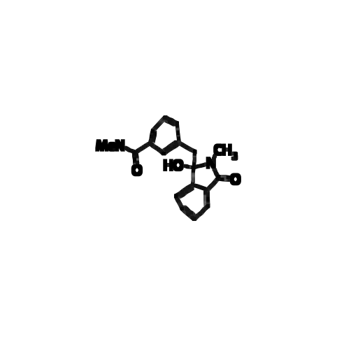 CNC(=O)c1cccc(CC2(O)c3ccccc3C(=O)N2C)c1